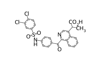 CC(C(=O)O)c1cnc(C(=O)c2ccc(NS(=O)(=O)c3ccc(Cl)c(Cl)c3)cc2)c2ccccc12